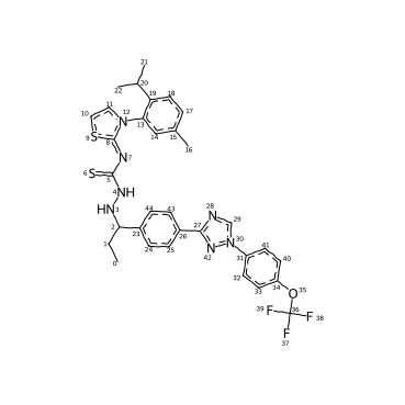 CCC(NNC(=S)/N=c1\sccn1-c1cc(C)ccc1C(C)C)c1ccc(-c2ncn(-c3ccc(OC(F)(F)F)cc3)n2)cc1